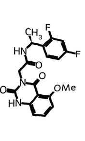 COc1cccc2[nH]c(=O)n(CC(=O)N[C@@H](C)c3ccc(F)cc3F)c(=O)c12